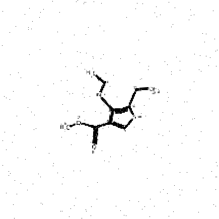 CCNc1c(C(=O)OC)csc1CC